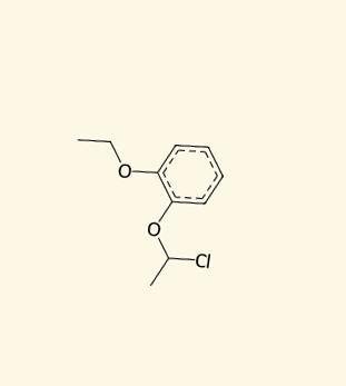 CCOc1ccccc1OC(C)Cl